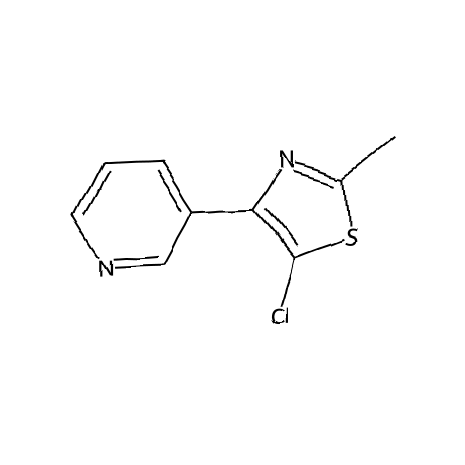 Cc1nc(-c2cccnc2)c(Cl)s1